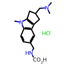 CN(C)CC1Cc2c(n(C)c3ccc(CNC(=O)O)cc23)C1.Cl